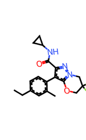 CCc1ccc(-c2c(C(=O)NC3CC3)nn3c2OCC(F)(F)C3)c(C)c1